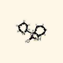 O=c1[nH]c2ccccc2n1-c1ccccn1